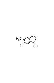 CCc1cc2c(O)cccc2cc1C